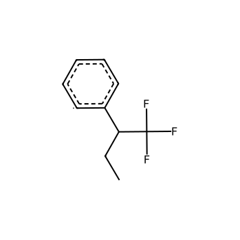 CCC(c1[c]cccc1)C(F)(F)F